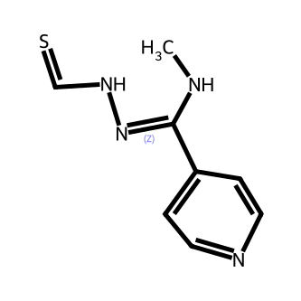 CN/C(=N\NC=S)c1ccncc1